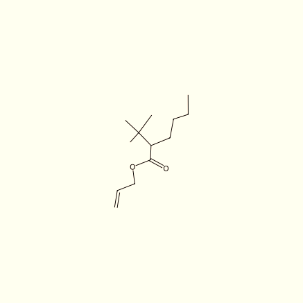 C=CCOC(=O)C(CCCC)C(C)(C)C